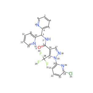 O=C(NC(c1ccccn1)c1ccccn1)c1cnn(-c2cccc(Cl)n2)c1C(F)(F)F